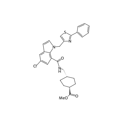 COC(=O)[C@H]1CC[C@H](CNC(=O)c2cc(Cl)cc3ccn(Cc4csc(-c5ccccc5)n4)c23)CC1